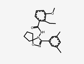 CCc1c(OC)cccc1C(=O)NN1C(c2cc(C)cc(C)c2)=NOC12CCCC2